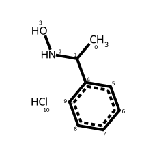 CC(NO)c1ccccc1.Cl